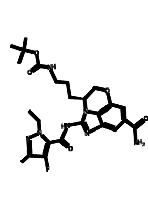 CCn1nc(C)c(F)c1C(=O)Nc1nc2cc(C(N)=O)cc3c2n1[C@@H](CCCNC(=O)OC(C)(C)C)CO3